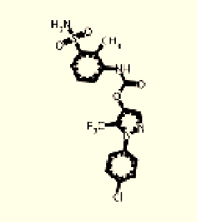 Cc1c(NC(=O)Oc2cnn(-c3ccc(Cl)cc3)c2C(F)(F)F)cccc1S(N)(=O)=O